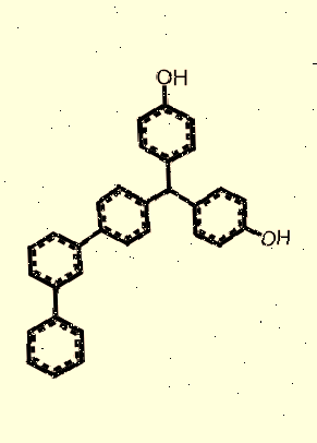 Oc1ccc(C(c2ccc(O)cc2)c2ccc(-c3cccc(-c4ccccc4)c3)cc2)cc1